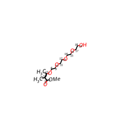 COC(=O)C(C)=C(C)OCCOCCOCCOCCO